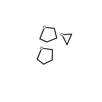 C1CCOC1.C1CCOC1.C1CO1